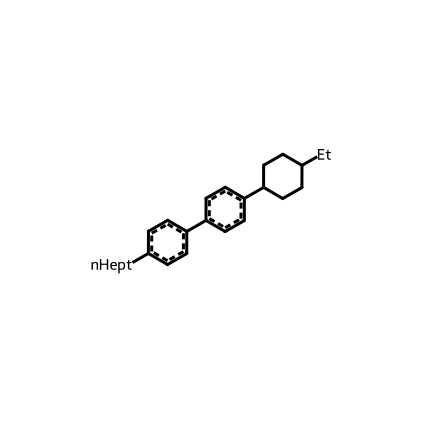 CCCCCCCc1ccc(-c2ccc(C3CCC(CC)CC3)cc2)cc1